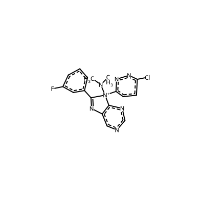 CN(C)[N+]1(c2ccc(Cl)nn2)C(c2cccc(F)c2)=Nc2cncnc21